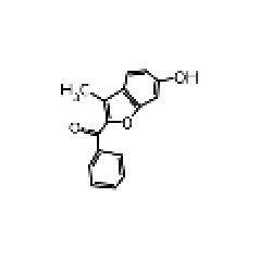 Cc1c(C(=O)c2ccccc2)oc2cc(O)ccc12